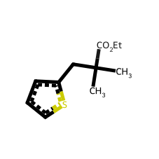 CCOC(=O)C(C)(C)Cc1cccs1